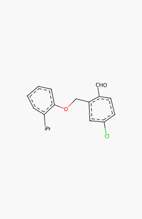 CC(C)c1ccccc1OCc1cc(Cl)ccc1C=O